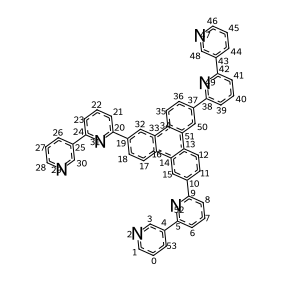 c1cncc(-c2cccc(-c3ccc4c(c3)c3ccc(-c5cccc(-c6cccnc6)n5)cc3c3ccc(-c5cccc(-c6cccnc6)n5)cc43)n2)c1